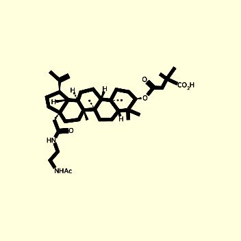 C=C(C)[C@@H]1CC[C@]2(CC(=O)NCCNC(C)=O)CC[C@]3(C)[C@H](CC[C@@H]4[C@@]5(C)CC[C@H](OC(=O)CC(C)(C)C(=O)O)C(C)(C)[C@@H]5CC[C@]43C)[C@@H]12